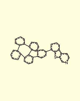 c1ccc2c(c1)-c1ccccc1-c1cccc(-c3ccc(-c4cccc5c4sc4cnccc45)cc3)c1-c1ccccc1-2